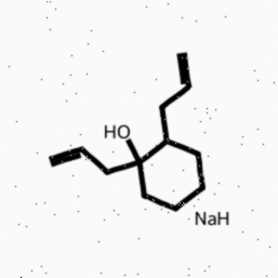 C=CCC1CCCCC1(O)CC=C.[NaH]